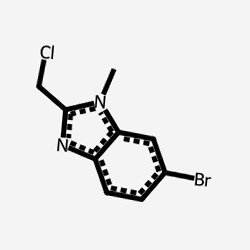 Cn1c(CCl)nc2ccc(Br)cc21